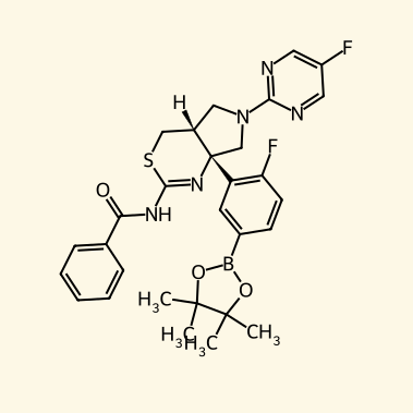 CC1(C)OB(c2ccc(F)c([C@]34CN(c5ncc(F)cn5)C[C@H]3CSC(NC(=O)c3ccccc3)=N4)c2)OC1(C)C